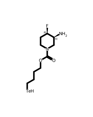 N[C@H]1CN(C(=O)OCCCC[TeH])CC[C@H]1F